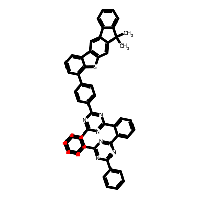 CC1(C)c2ccccc2-c2cc3c(cc21)sc1c(-c2ccc(-c4nc(-c5ccccc5)nc(-c5ccccc5-c5nc(-c6ccccc6)nc(-c6ccccc6)n5)n4)cc2)cccc13